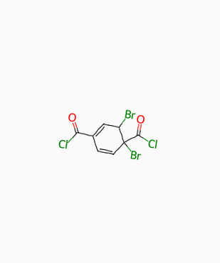 O=C(Cl)C1=CC(Br)C(Br)(C(=O)Cl)C=C1